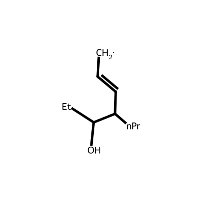 [CH2]C=CC(CCC)C(O)CC